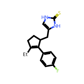 CCC1=C(c2ccc(F)cc2)C(Cc2c[nH]c(=S)[nH]2)CC1